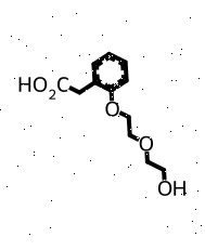 O=C(O)Cc1ccccc1OCCOCCO